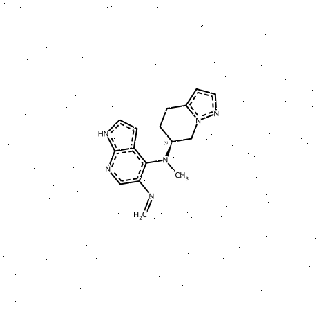 C=Nc1cnc2[nH]ccc2c1N(C)[C@H]1CCc2ccnn2C1